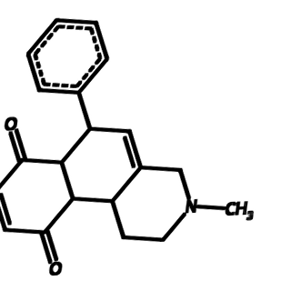 CN1CCC2C(=CC(c3ccccc3)C3C(=O)C=CC(=O)C23)C1